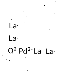 [La].[La].[La].[La].[O-2].[Pd+2]